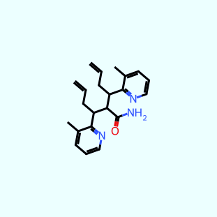 C=CCC(c1ncccc1C)C(C(N)=O)C(CC=C)c1ncccc1C